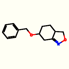 c1ccc(COC2CCC3CON=C3C2)cc1